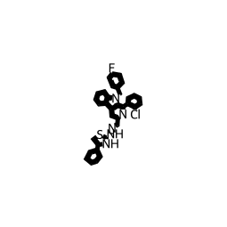 Fc1ccc(Cn2c3ccccc3c3cc(C=NNC4NC(c5ccccc5)=CS4)nc(-c4ccccc4Cl)c32)cc1